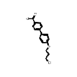 O=C(Cl)c1ccc(-c2ccc(OCCCCl)cc2)cc1